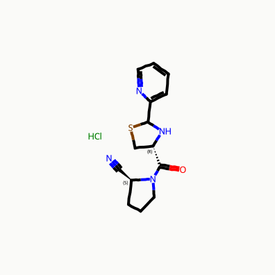 Cl.N#C[C@@H]1CCCN1C(=O)[C@@H]1CSC(c2ccccn2)N1